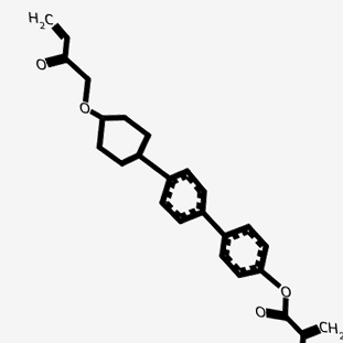 C=CC(=O)COC1CCC(c2ccc(-c3ccc(OC(=O)C(=C)C)cc3)cc2)CC1